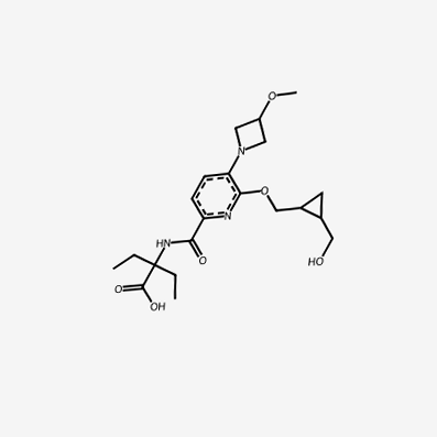 CCC(CC)(NC(=O)c1ccc(N2CC(OC)C2)c(OCC2CC2CO)n1)C(=O)O